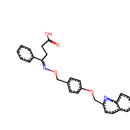 O=C(O)CC/C(=N\OCc1ccc(OCc2ccc3ccccc3n2)cc1)c1ccccc1